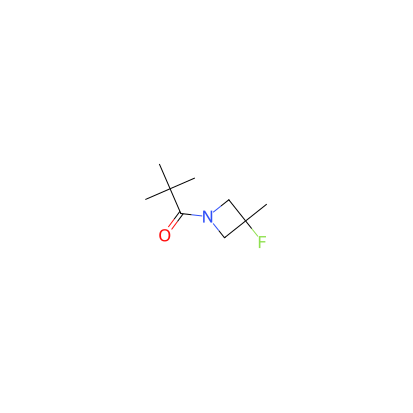 CC1(F)CN(C(=O)C(C)(C)C)C1